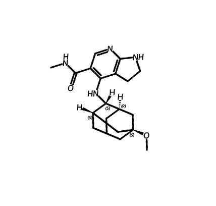 CNC(=O)c1cnc2c(c1N[C@@H]1[C@@H]3CC4C[C@H]1C[C@@](OC)(C4)C3)CCN2